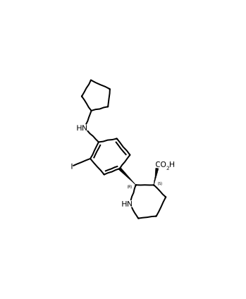 O=C(O)[C@H]1CCCN[C@H]1c1ccc(NC2CCCC2)c(I)c1